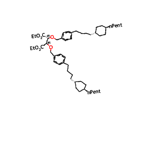 CCCCC[C@H]1CC[C@H](CCCCc2ccc(CO[C@@H](C(=O)OCC)[C@@H](OCc3ccc(CCCC[C@H]4CC[C@H](CCCCC)CC4)cc3)C(=O)OCC)cc2)CC1